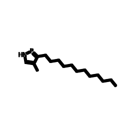 CCCCCCCCCCCCc1p[nH]cc1C